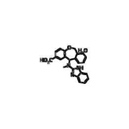 CN(c1nc2ccccc2[nH]1)C1c2ccccc2COc2ccc(C(=O)O)cc21.O